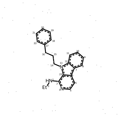 CCNc1nccc2c3ccccc3n(CCCc3ccccc3)c12